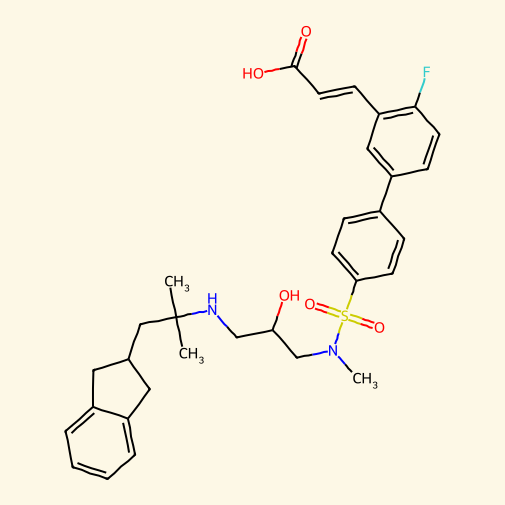 CN(CC(O)CNC(C)(C)CC1Cc2ccccc2C1)S(=O)(=O)c1ccc(-c2ccc(F)c(C=CC(=O)O)c2)cc1